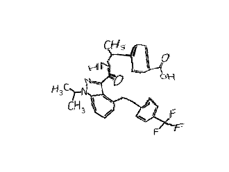 CC(NC(=O)c1nn(C(C)C)c2cccc(Cc3ccc(C(F)(F)F)cc3)c12)c1ccc(C(=O)O)cc1